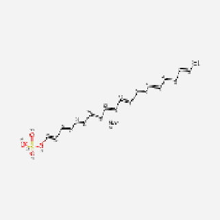 CC/C=C/C=C/C=C/C=C/C=C/C=C/C=C/C=C/C=C/C=C/OS(=O)(=O)[O-].[Na+]